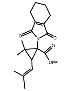 COC(=O)C1(N2C(=O)C3=C(CCCC3)C2=O)C(C=C(C)C)C1(C)C